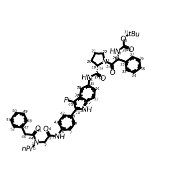 CCCN(CC(=O)Nc1ccc(-c2[nH]c3ccc(NC(=O)[C@@H]4CCCN4C(=O)[C@H](NC(=O)OC(C)(C)C)c4ccccc4)cc3c2F)cc1)C(=O)Cc1ccccc1